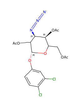 CC(=O)OCC1O[C@H](Oc2ccc(Cl)c(Cl)c2)C(OC(C)=O)[C@@H](N=[N+]=[N-])[C@H]1OC(C)=O